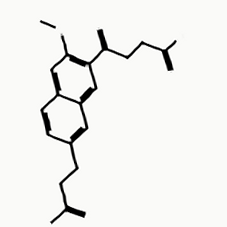 COc1cc2ccc(CCC(C)=O)cc2cc1C(=O)CCC(=O)O